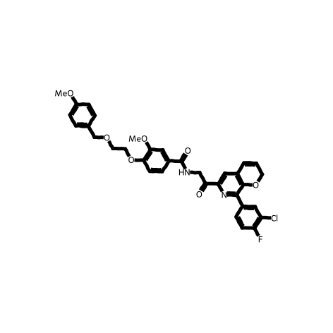 COc1ccc(COCCOc2ccc(C(=O)NCC(=O)c3cc4c(c(-c5ccc(F)c(Cl)c5)n3)OCC=C4)cc2OC)cc1